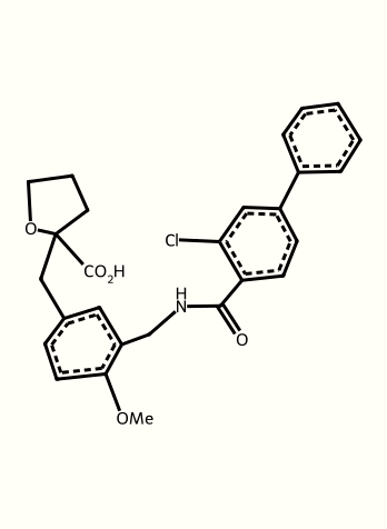 COc1ccc(CC2(C(=O)O)CCCO2)cc1CNC(=O)c1ccc(-c2ccccc2)cc1Cl